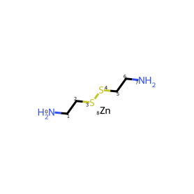 NCCSSCCN.[Zn]